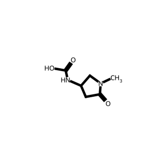 CN1CC(NC(=O)O)CC1=O